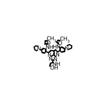 Cc1ccc(Nc2cc(N3CCCCC3)ccc2C2=CC3=CC(c4ccc(N5CCCCC5)cc4Nc4ccc(C)o4)=Nc4nc(C(=N)/C=C\O)nc(c4=C3)=N2)o1